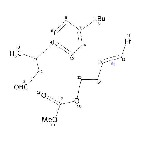 CC(CC=O)c1ccc(C(C)(C)C)cc1.CC/C=C/CCOC(=O)OC